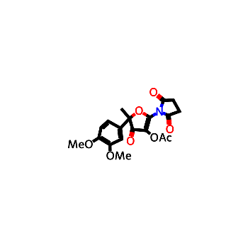 COc1ccc(C2(C)OC(N3C(=O)CCC3=O)=C(OC(C)=O)C2=O)cc1OC